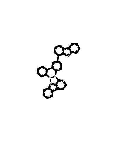 c1ccc2c(c1)B1N(c3ccc(-c4cccc5c4sc4ccccc45)cc3-2)c2nccc3c4ccccc4n1c23